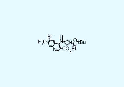 CCOC(=O)c1cnc2cc(C(F)(F)F)c(Br)cc2c1NC1CN(C(=O)OC(C)(C)C)C1